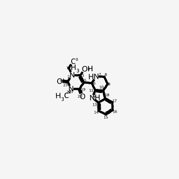 CCn1c(O)c(C2NCCc3c2[nH]c2ccccc32)c(=O)n(C)c1=O